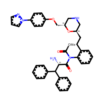 COC(=O)N(C(=O)[C@@H](N)C(c1ccccc1)c1ccccc1)c1ccccc1CC[C@@H]1CNC[C@@H](COc2ccc(-n3cccn3)cc2)O1